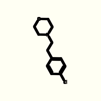 Clc1ccc(CCN2CCOCC2)cc1